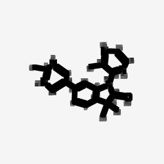 Cc1ncc(-c2ccc3c(c2)N(c2nccnc2C)C(=O)C3(C)C)cn1